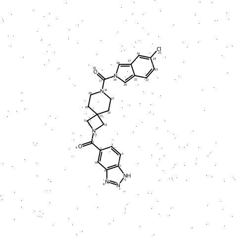 O=C(c1ccc2[nH]nnc2c1)N1CC2(CCN(C(=O)n3cc4ccc(Cl)cc4c3)CC2)C1